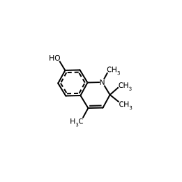 CC1=CC(C)(C)N(C)c2cc(O)ccc21